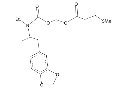 CCN(C(=O)OCOC(=O)CCSC)C(C)Cc1ccc2c(c1)OCO2